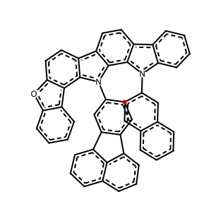 c1ccc2cc(-n3c4ccccc4c4ccc5c6ccc7oc8ccccc8c7c6n(-c6ccc7c(c6)-c6cccc8cccc-7c68)c5c43)ccc2c1